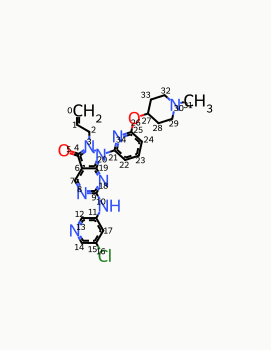 C=CCn1c(=O)c2cnc(Nc3cncc(Cl)c3)nc2n1-c1cccc(OC2CCN(C)CC2)n1